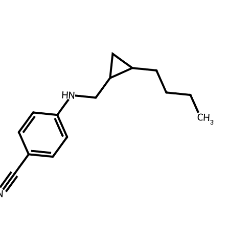 CCCCC1CC1CNc1ccc(C#N)cc1